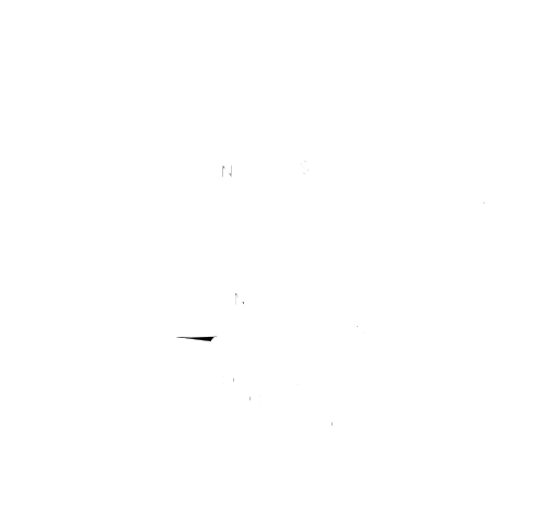 Cc1nc(CN(c2cc(C#CC(C)(C)C)sc2C(=O)O)C(=O)[C@H]2CC[C@H](C)CC2)cs1